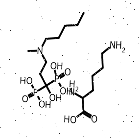 CCCCCN(C)CCC(O)(P(=O)(O)O)P(=O)(O)O.NCCCCC(N)C(=O)O